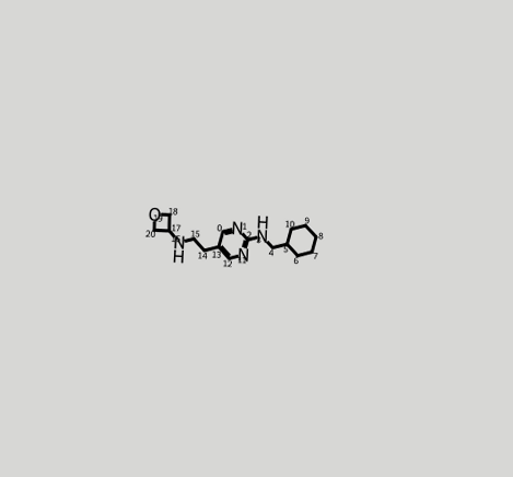 c1nc(NCC2CCCCC2)ncc1CCNC1COC1